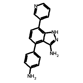 Nc1ccc(-c2ccc(-c3cccnc3)c3[nH]nc(N)c23)cc1